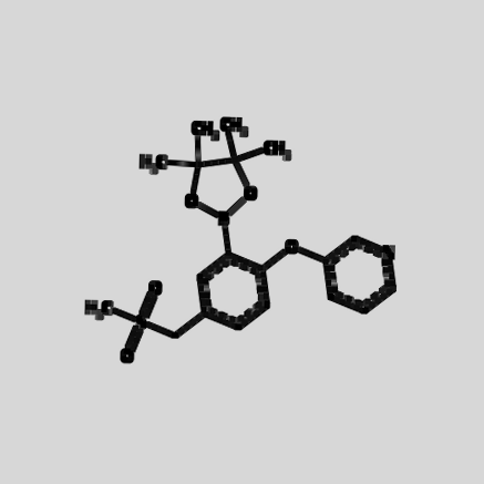 CC1(C)OB(c2cc(CS(C)(=O)=O)ccc2Oc2cccnc2)OC1(C)C